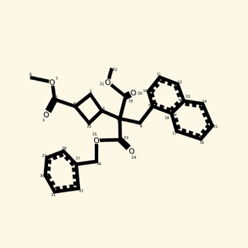 COC(=O)C1CC(C(Cc2cccc3ccccc23)(C(=O)OC)C(=O)OCc2ccccc2)C1